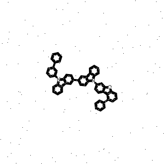 c1ccc(-c2cccc(-n3c4ccccc4c4cc(-c5ccc6c(c5)c5ccccc5n6-c5ccc6c(c5)oc5cccc(-c7ccccc7)c56)ccc43)c2)cc1